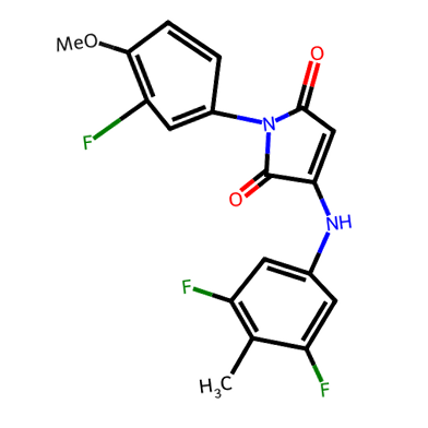 COc1ccc(N2C(=O)C=C(Nc3cc(F)c(C)c(F)c3)C2=O)cc1F